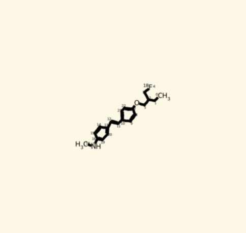 CCC(C[18F])COc1ccc(/C=C/c2ccc(NC)cc2)cc1